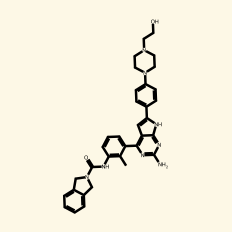 Cc1c(NC(=O)N2Cc3ccccc3C2)cccc1-c1nc(N)nc2[nH]c(-c3ccc(N4CCN(CCO)CC4)cc3)cc12